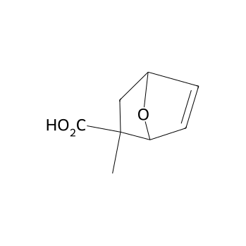 CC1(C(=O)O)CC2C=CC1O2